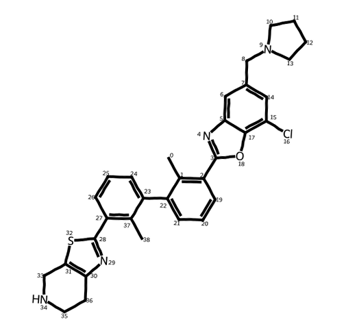 Cc1c(-c2nc3cc(CN4CCCC4)cc(Cl)c3o2)cccc1-c1cccc(-c2nc3c(s2)CNCC3)c1C